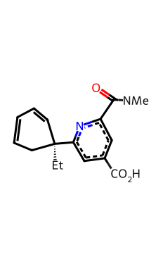 CC[C@@]1(c2cc(C(=O)O)cc(C(=O)NC)n2)C=CC=CC1